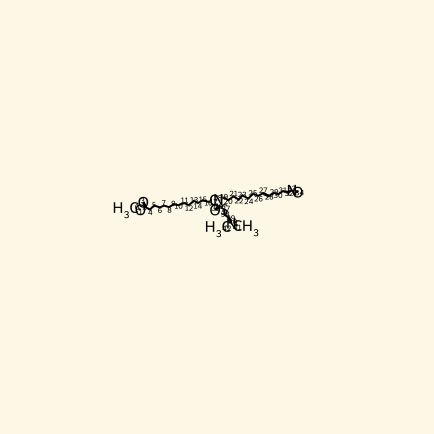 COC(=O)CCCCCCCCCCCCCCN(CCCCCCCC/C=C/CCCCN=O)C(=O)SCCN(C)C